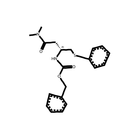 CN(C)C(=O)C[C@H](CSc1ccccc1)NC(=O)OCc1ccccc1